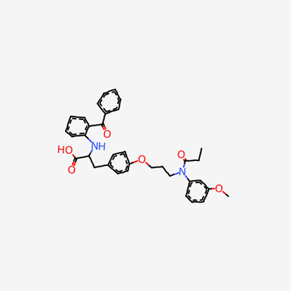 CCC(=O)N(CCCOc1ccc(CC(Nc2ccccc2C(=O)c2ccccc2)C(=O)O)cc1)c1cccc(OC)c1